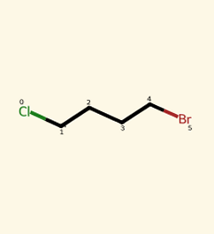 Cl[CH]CCCBr